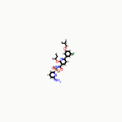 CC[C@H](C)Oc1nc(-c2cc(F)cc(OCC(C)C)c2)ccc1C(=O)NS(=O)(=O)c1cccc(N)n1